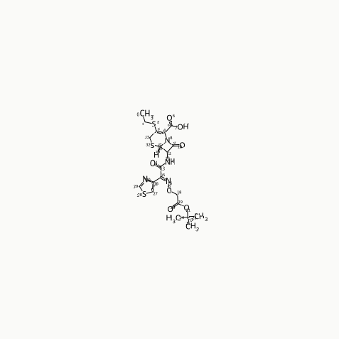 CCSC1=C(C(=O)O)N2C(=O)C(NC(=O)C(=NOCC(=O)OC(C)(C)C)c3cscn3)[C@@H]2SC1